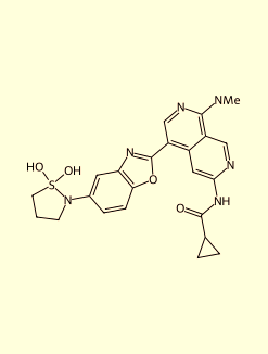 CNc1ncc(-c2nc3cc(N4CCCS4(O)O)ccc3o2)c2cc(NC(=O)C3CC3)ncc12